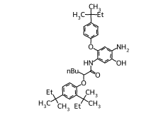 CCCCC(Oc1ccc(C(C)(C)CC)cc1C(C)(C)CC)C(=O)Nc1cc(O)c(N)cc1Oc1ccc(C(C)(C)CC)cc1